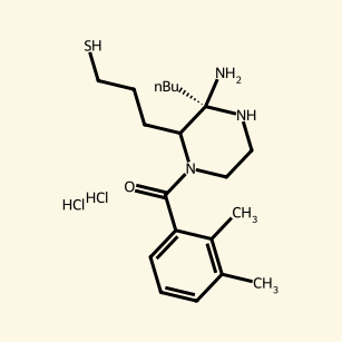 CCCC[C@]1(N)NCCN(C(=O)c2cccc(C)c2C)C1CCCS.Cl.Cl